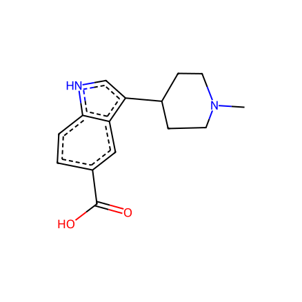 CN1CCC(c2c[nH]c3ccc(C(=O)O)cc23)CC1